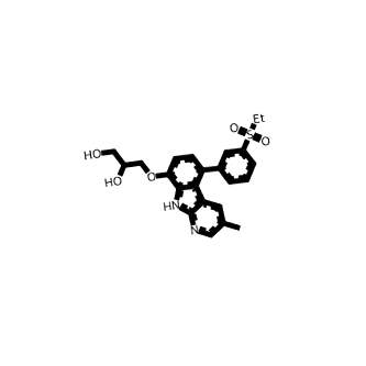 CCS(=O)(=O)c1cccc(-c2ccc(OCC(O)CO)c3[nH]c4ncc(C)cc4c23)c1